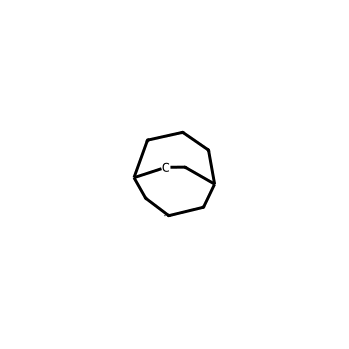 [CH]1CC2CCCC(C1)CC2